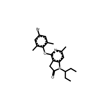 CCC(CC)N1C(=O)Cc2c1cc(C)nc2Oc1c(C)cc(Br)cc1C